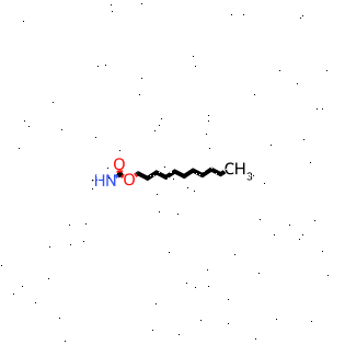 CCCCCCCCCCCOC([NH])=O